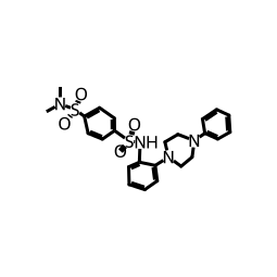 CN(C)S(=O)(=O)c1ccc(S(=O)(=O)Nc2ccccc2N2CCN(c3ccccc3)CC2)cc1